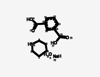 C1CCNCC1.O.O=C(O)c1cccc(C(=O)O)c1.[NaH]